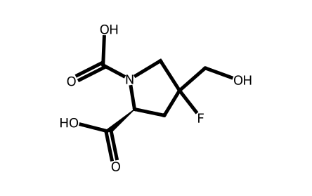 O=C(O)[C@@H]1CC(F)(CO)CN1C(=O)O